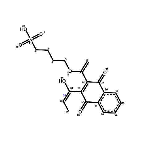 C=C(OCCCCS(=O)(=O)O)C1=C(/C(O)=C\C)C(=O)c2ccccc2C1=O